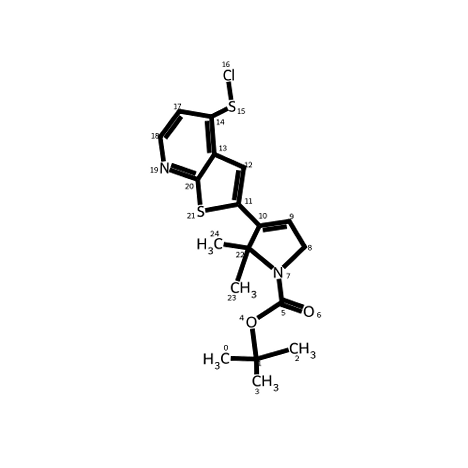 CC(C)(C)OC(=O)N1CC=C(c2cc3c(SCl)ccnc3s2)C1(C)C